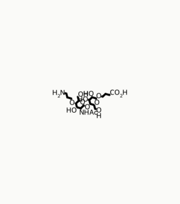 CC(=O)N[C@H]1C(O)[C@H](OCCCN)C(CO)O[C@H]1O[C@@H]1C(CO)O[C@@H](OCCCC(=O)O)[C@@H](O)C1O